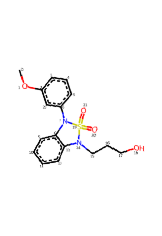 COc1cccc(N2c3ccccc3N(CCCO)S2(=O)=O)c1